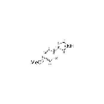 COc1ccc(C2=CCNC2)cc1